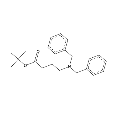 CC(C)(C)OC(=O)CCCN(Cc1ccccc1)Cc1ccccc1